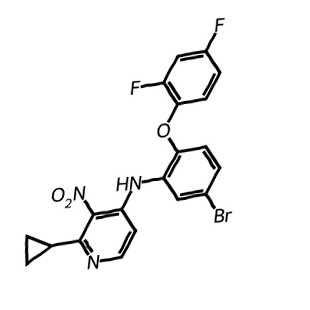 O=[N+]([O-])c1c(Nc2cc(Br)ccc2Oc2ccc(F)cc2F)ccnc1C1CC1